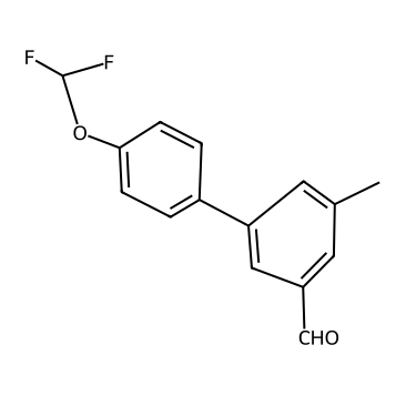 Cc1cc(C=O)cc(-c2ccc(OC(F)F)cc2)c1